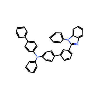 c1ccc(-c2ccc(N(c3ccccc3)c3ccc(-c4cccc(-c5nc6ccccc6n5-c5ccccc5)c4)cc3)cc2)cc1